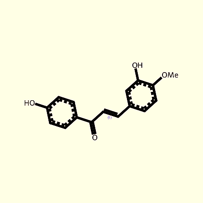 COc1ccc(/C=C/C(=O)c2ccc(O)cc2)cc1O